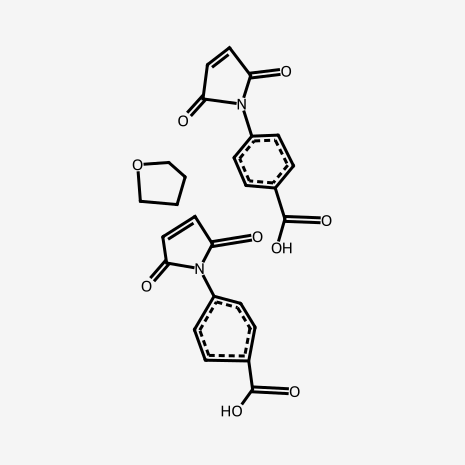 C1CCOC1.O=C(O)c1ccc(N2C(=O)C=CC2=O)cc1.O=C(O)c1ccc(N2C(=O)C=CC2=O)cc1